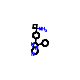 NC1(c2ccc(-c3nc4cnccn4c3-c3ccccc3)cc2)CCC1